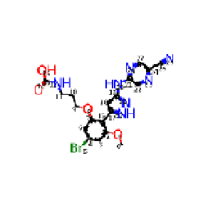 COc1cc(Br)cc(OCCCNC(=O)O)c1-c1cc(Nc2cnc(C#N)cn2)n[nH]1